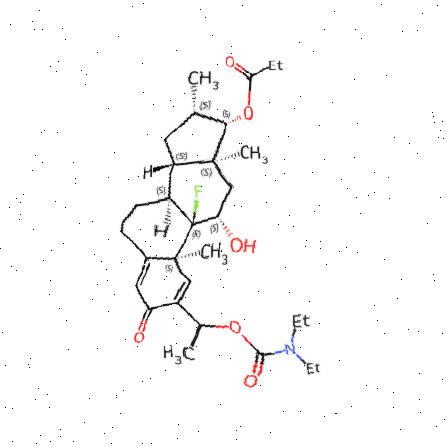 CCC(=O)O[C@H]1[C@@H](C)C[C@H]2[C@@H]3CCC4=CC(=O)C(C(C)OC(=O)N(CC)CC)=C[C@]4(C)[C@@]3(F)[C@@H](O)C[C@@]21C